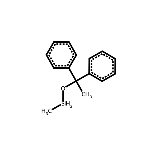 C[SiH2]OC(C)(c1ccccc1)c1ccccc1